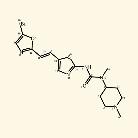 CN1CCC(N(C)C(=O)Nc2ncc(/C=C/c3ncc(C(C)(C)C)o3)s2)CC1